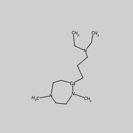 CCN(CC)CC[CH2][Ga]1[CH2]CN(C)CC[N]1C